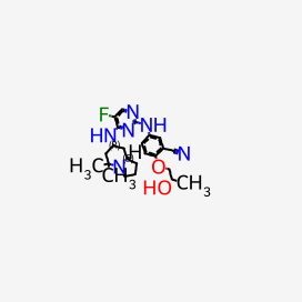 CC(O)COc1ccc(Nc2ncc(F)c(N[C@@H]3C[C@@H]4CCCN4C(C)(C)C3)n2)cc1C#N